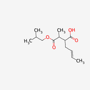 CC=CCC(C(=O)O)C(C)C(=O)OCC(C)C